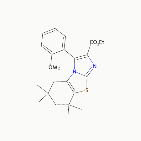 CCOC(=O)c1nc2sc3c(n2c1-c1ccccc1OC)CC(C)(C)CC3(C)C